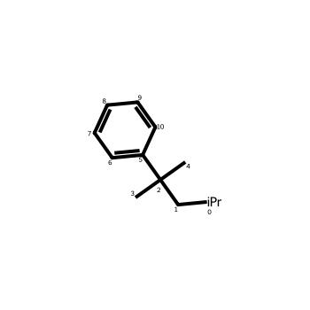 CC(C)CC(C)(C)c1ccccc1